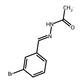 [CH2]C(=O)NN=Cc1cccc(Br)c1